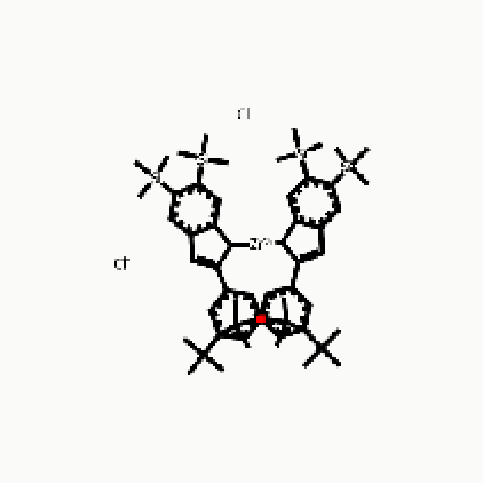 CC(C)(C)c1cc(C2=Cc3cc([Si](C)(C)C)c([Si](C)(C)C)cc3[CH]2[Zr+2][CH]2C(c3cc(C(C)(C)C)cc(C(C)(C)C)c3)=Cc3cc([Si](C)(C)C)c([Si](C)(C)C)cc32)cc(C(C)(C)C)c1.[Cl-].[Cl-]